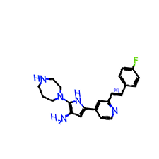 Nc1cc(-c2ccnc(/C=C/c3ccc(F)cc3)c2)[nH]c1N1CCCNCC1